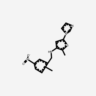 Cc1ccc([N+](=O)[O-])cc1CNc1cc(-n2ccnc2)sc1C